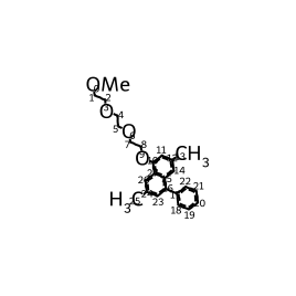 COCCOCCOCCOc1cc(C)cc2c(-c3ccccc3)cc(C)cc12